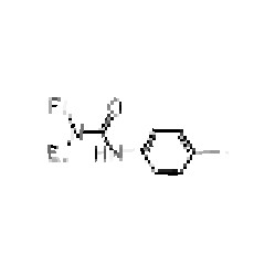 [CH2]c1ccc(NC(=O)N(CC)CC)cc1